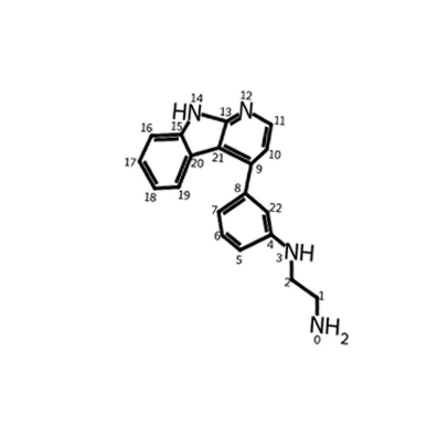 NCCNc1cccc(-c2ccnc3[nH]c4ccccc4c23)c1